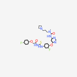 CN(CCCN1CCC1)C(=O)Nc1cc(Oc2ccc(NC(=S)NC(=O)COc3ccc(F)cc3)cc2F)ncn1